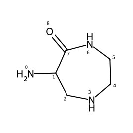 NC1CNCCNC1=O